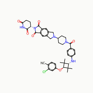 CC1(C)[C@H](Nc2ccc(C(=O)N3CCC(N4Cc5cc6c(cc5C4)C(=O)N([C@H]4CCC(=O)NC4=O)C6=O)CC3)cc2)C(C)(C)[C@H]1Oc1ccc(C#N)c(Cl)c1